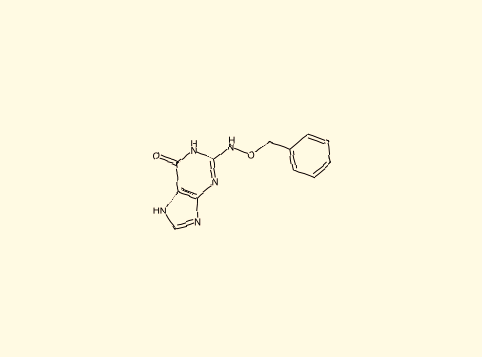 O=c1[nH]c(NOCc2ccccc2)nc2nc[nH]c12